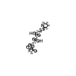 O=C(CCP(=O)(O)CCP(=O)(O)CCSSc1ccccn1)ON1C(=O)CCC1=O